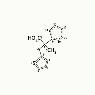 CC(Cc1cccs1)(C(=O)O)c1ccccc1